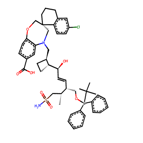 C[C@H](CS(N)(=O)=O)[C@H](/C=C/[C@H](O)[C@@H]1CC[C@H]1CN1C[C@@]2(CCCc3cc(Cl)ccc32)COc2ccc(C(=O)O)cc21)CO[Si](c1ccccc1)(c1ccccc1)C(C)(C)C